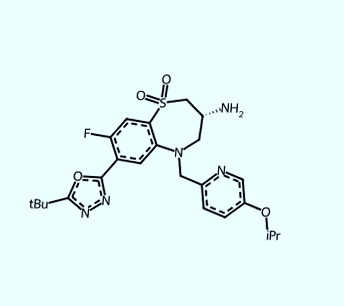 CC(C)Oc1ccc(CN2C[C@@H](N)CS(=O)(=O)c3cc(F)c(-c4nnc(C(C)(C)C)o4)cc32)nc1